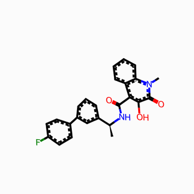 C[C@H](NC(=O)c1c(O)c(=O)n(C)c2ccccc12)c1cccc(-c2ccc(F)cc2)c1